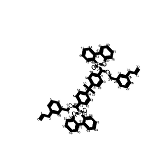 C=CCc1cccc(COC(c2ccc(C(C)(C)c3ccc(C(OCc4cccc(CC=C)c4)P4(=O)Oc5ccccc5-c5ccccc54)cc3)cc2)P2(=O)Oc3ccccc3-c3ccccc32)c1